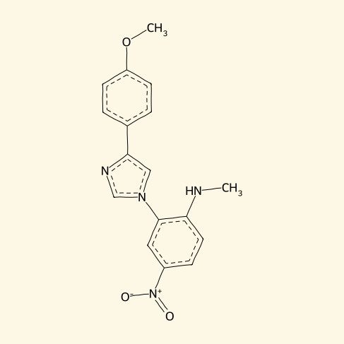 CNc1ccc([N+](=O)[O-])cc1-n1cnc(-c2ccc(OC)cc2)c1